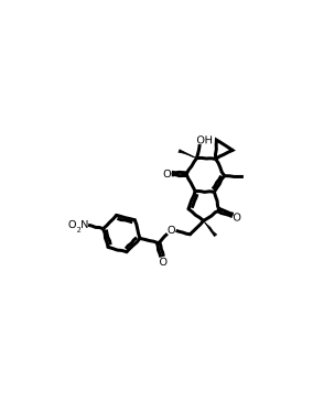 CC1=C2C(=O)[C@](C)(COC(=O)c3ccc([N+](=O)[O-])cc3)C=C2C(=O)[C@](C)(O)C12CC2